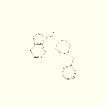 CCC(N1C=CC(Cc2ccccc2)CC1)n1ccc2ccccc21